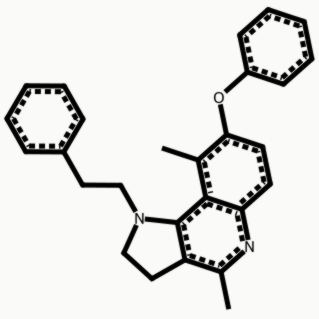 Cc1nc2ccc(Oc3ccccc3)c(C)c2c2c1CCN2CCc1ccccc1